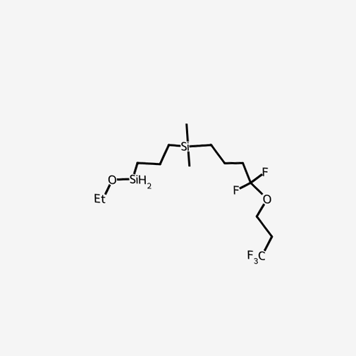 CCO[SiH2]CCC[Si](C)(C)CCCC(F)(F)OCCC(F)(F)F